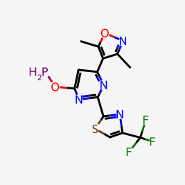 Cc1noc(C)c1-c1cc(OP)nc(-c2nc(C(F)(F)F)cs2)n1